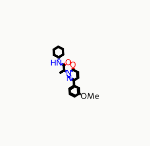 COc1cccc(-c2ccc(=O)n(C(C)C(=O)NC3CCCCC3)n2)c1